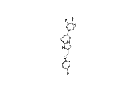 Fc1ccc(OCc2cn3cc(-c4cnc(F)c(F)c4)cnc3n2)cc1